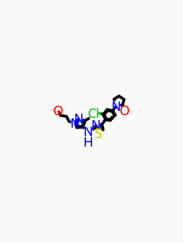 COCCCn1cc(Nc2nc(-c3ccc(N4CCCC4=O)cc3Cl)cs2)c(C)n1